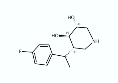 CC(c1ccc(F)cc1)[C@H]1CNC[C@@H](O)[C@@H]1O